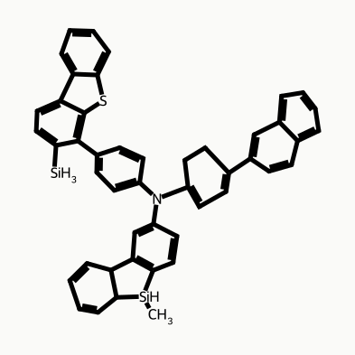 C[SiH]1c2ccc(N(C3=CC=C(c4ccc5ccccc5c4)CC3)c3ccc(-c4c([SiH3])ccc5c4sc4ccccc45)cc3)cc2C2C=CC=CC21